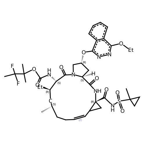 CCOc1nnc(O[C@@H]2C[C@H]3C(=O)N[C@]4(C(=O)NS(=O)(=O)C5(C)CC5)CC4/C=C\CC[C@H](C)C[C@@H](CC)[C@H](NC(=O)OC(C)(C)C(C)(F)F)C(=O)N3C2)c2ccccc12